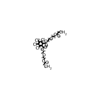 C=CC(=O)OCCOCCOC(=O)c1c(Cl)c(Cl)c(Cl)c(Cl)c1C(=O)OCCOCCOC(=O)C=C